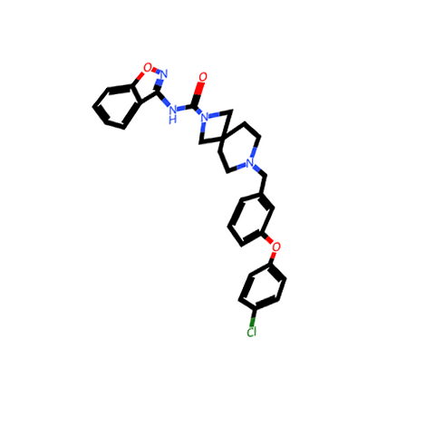 O=C(Nc1noc2ccccc12)N1CC2(CCN(Cc3cccc(Oc4ccc(Cl)cc4)c3)CC2)C1